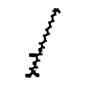 CCCCCCCCCCCCOCC(O)COCCC(=O)O